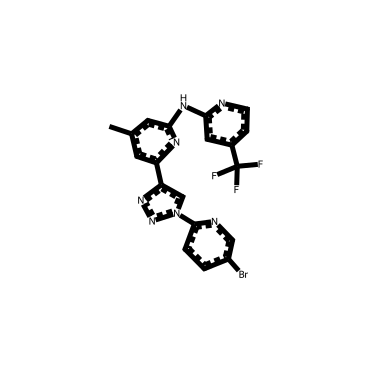 Cc1cc(Nc2cc(C(F)(F)F)ccn2)nc(-c2cn(-c3ccc(Br)cn3)nn2)c1